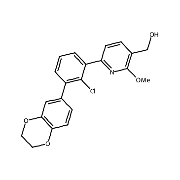 COc1nc(-c2cccc(-c3ccc4c(c3)OCCO4)c2Cl)ccc1CO